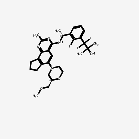 COC[C@H]1CN(c2cc3c(N[C@H](C)c4cccc(C(F)(F)C(C)(C)O)c4F)nc(C)nc3c3c2CCC3)CCO1